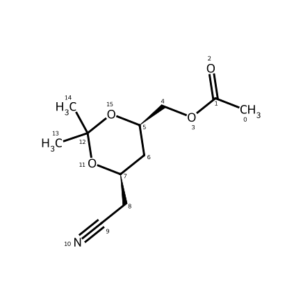 CC(=O)OC[C@H]1C[C@@H](CC#N)OC(C)(C)O1